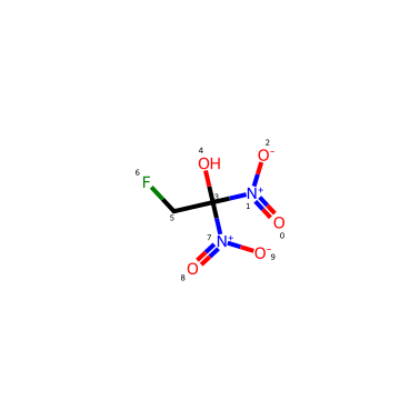 O=[N+]([O-])C(O)(CF)[N+](=O)[O-]